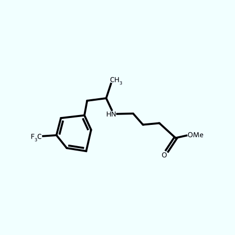 COC(=O)CCCNC(C)Cc1cccc(C(F)(F)F)c1